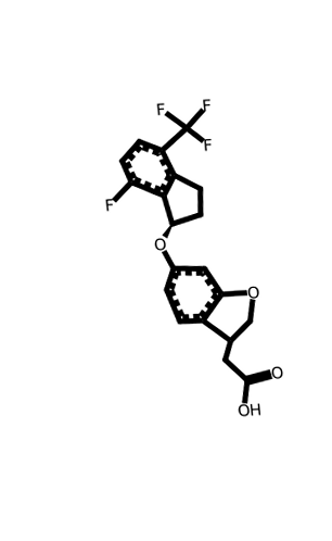 O=C(O)CC1COc2cc(O[C@@H]3CCc4c(C(F)(F)F)ccc(F)c43)ccc21